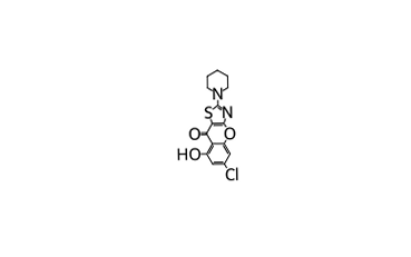 O=c1c2sc(N3CCCCC3)nc2oc2cc(Cl)cc(O)c12